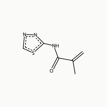 C=C(C)C(=O)Nc1nncs1